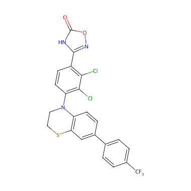 O=c1[nH]c(-c2ccc(N3CCSc4cc(-c5ccc(C(F)(F)F)cc5)ccc43)c(Cl)c2Cl)no1